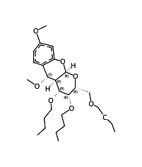 CCCCOC[C@H]1O[C@@H]2Oc3cc(OC)ccc3[C@@H](OC)[C@@H]2[C@@H](OCCCC)[C@H]1OCCCC